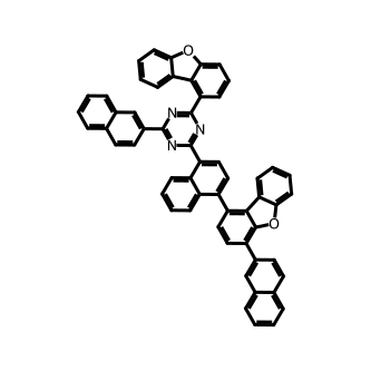 c1ccc2cc(-c3nc(-c4ccc(-c5ccc(-c6ccc7ccccc7c6)c6oc7ccccc7c56)c5ccccc45)nc(-c4cccc5oc6ccccc6c45)n3)ccc2c1